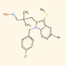 CC(C)c1ccc2c(c1)c(SC(C)(C)C)c(CC(C)(C)/C=N/O)n2Cc1ccc(Cl)cc1